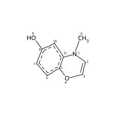 CN1C=COc2ccc(O)cc21